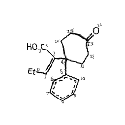 CCC=C(C(=O)O)C1(c2ccccc2)CCC(=O)CC1